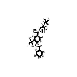 CC(C)(C)OC(=O)CNC(=O)c1ccc(OCc2ccccc2)c(C(C)(C)C)c1